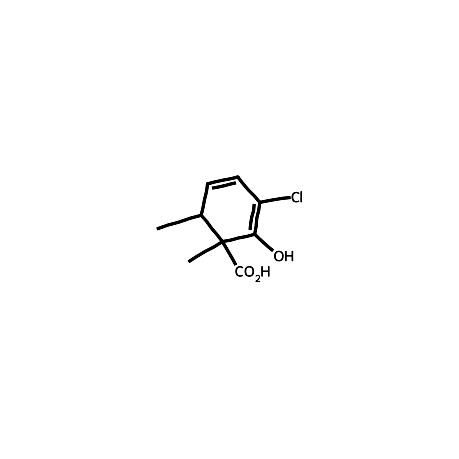 CC1C=CC(Cl)=C(O)C1(C)C(=O)O